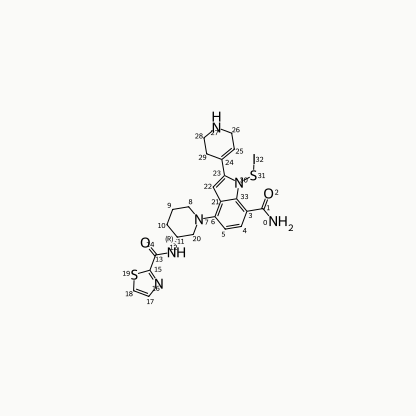 NC(=O)c1ccc(N2CCC[C@@H](NC(=O)c3nccs3)C2)c2cc(C3=CCNCC3)n(SI)c12